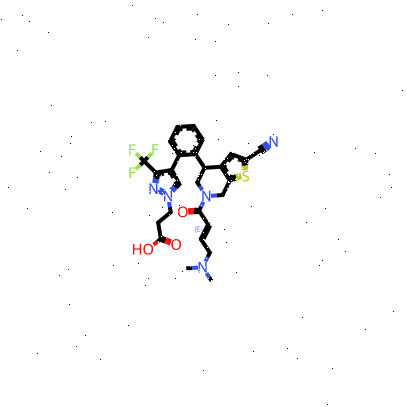 CN(C)C/C=C/C(=O)N1Cc2sc(C#N)cc2C(c2ccccc2-c2cn(CCC(=O)O)nc2C(F)(F)F)C1